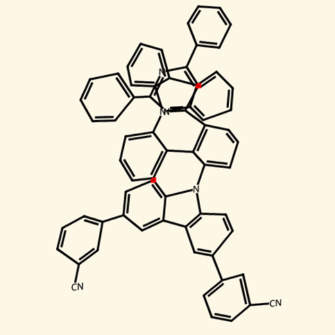 N#Cc1cccc(-c2ccc3c(c2)c2cc(-c4cccc(C#N)c4)ccc2n3-c2cccc(-c3cc(-c4ccccc4)nc(-c4ccccc4)n3)c2-c2ccccc2-n2c3ccccc3c3ccccc32)c1